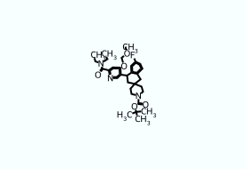 CCN(CC)C(=O)c1cc(OCOC)c(C2CC3(CCN(C(=O)OC(C)(C)C)CC3)Cc3ccc(F)cc32)cn1